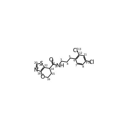 O=C(NCCCc1ccc(Cl)cc1Cl)C1CCOc2ncsc21